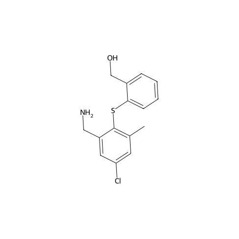 Cc1cc(Cl)cc(CN)c1Sc1ccccc1CO